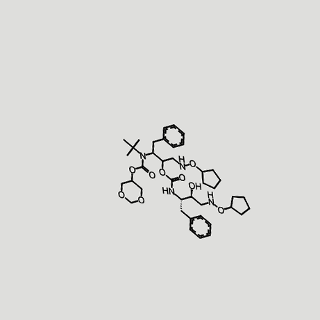 CC(C)(C)N(C(=O)OC1COCOC1)C(Cc1ccccc1)C(CNOC1CCCC1)OC(=O)N[C@@H](Cc1ccccc1)[C@@H](O)CNOC1CCCC1